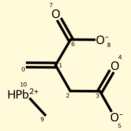 C=C(CC(=O)[O-])C(=O)[O-].[CH3][PbH+2]